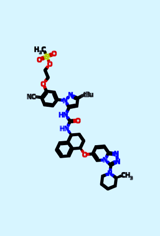 C[C@H]1CCCCN1c1nnc2ccc(O[C@@H]3CC[C@H](NC(=O)Nc4cc(C(C)(C)C)nn4-c4ccc(C#N)c(OCCOS(C)(=O)=O)c4)c4ccccc43)cn12